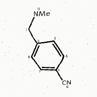 [CH2-][NH2+]Cc1ccc(C#N)cc1